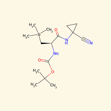 CC(C)(C)OC(=O)N[C@@H](C[Si](C)(C)C)C(=O)NC1(C#N)CC1